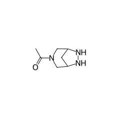 CC(=O)N1CC2CC(C1)NN2